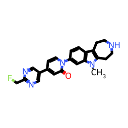 Cn1c2c(c3ccc(-n4ccc(-c5cnc(CF)nc5)cc4=O)cc31)CCNCC2